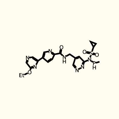 CCOc1cncc(-c2ccc(C(=O)NCc3cnnc(N(PC)S(=O)(=O)C4CC4)c3)nc2)n1